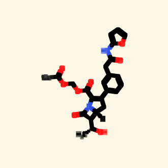 C[C@@H](O)[C@H]1C(=O)N2C(C(=O)OCOC(=O)C(C)(C)C)=C(c3cccc(CC(=O)Nc4ccco4)c3)C[C@H]12